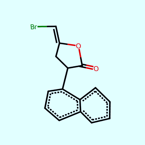 O=C1O/C(=C/Br)CC1c1cccc2ccccc12